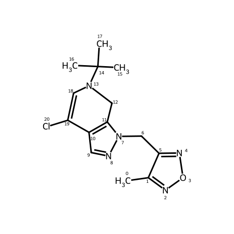 Cc1nonc1Cn1ncc2c1CN(C(C)(C)C)C=C2Cl